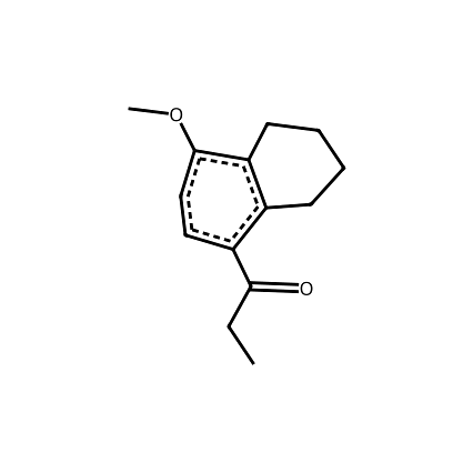 CCC(=O)c1ccc(OC)c2c1CCCC2